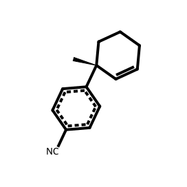 C[C@]1(c2ccc(C#N)cc2)C=CCCC1